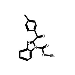 Cc1ccc(C(=O)c2nc3ccccc3n2C(=O)OC(C)(C)C)cc1